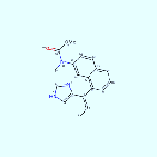 CC=C(c1c[nH]cn1)c1cccc2ccc(N(C)C(=O)OC)cc12